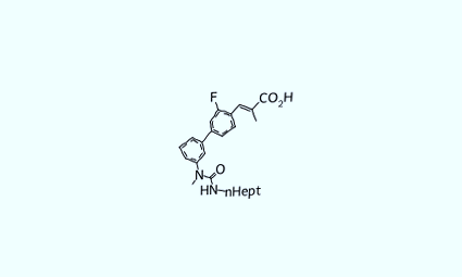 CCCCCCCNC(=O)N(C)c1cccc(-c2ccc(C=C(C)C(=O)O)c(F)c2)c1